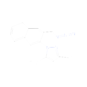 [N-]=[N+]=NCc1cc2ccccc2cc1-n1nc(C(F)(F)F)cc1C(=O)O